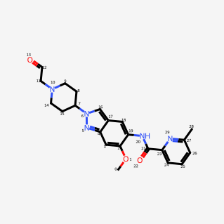 COc1cc2nn(C3CCN(CC=O)CC3)cc2cc1NC(=O)c1cccc(C)n1